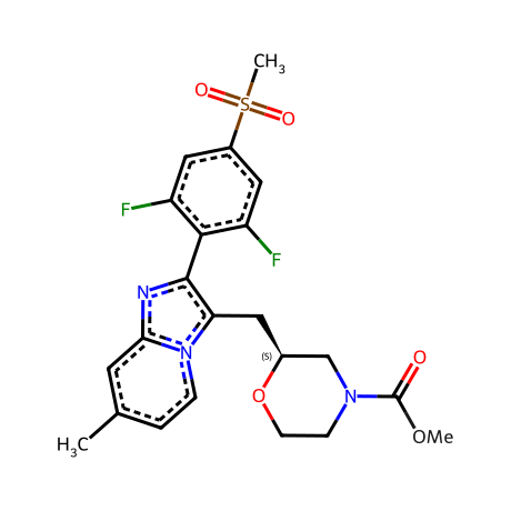 COC(=O)N1CCO[C@@H](Cc2c(-c3c(F)cc(S(C)(=O)=O)cc3F)nc3cc(C)ccn23)C1